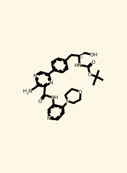 CC(C)(C)OC(=O)N[C@H](CO)Cc1ccc(-c2cnc(N)c(C(=O)Nc3cnccc3N3CCOCC3)n2)cc1